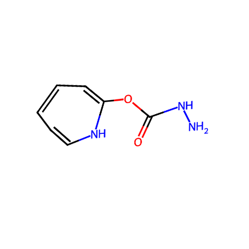 NNC(=O)OC1=CC=CC=CN1